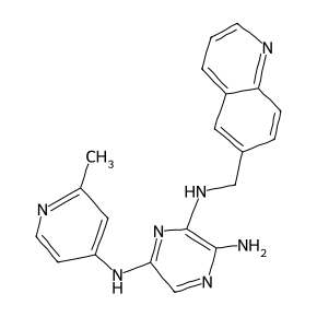 Cc1cc(Nc2cnc(N)c(NCc3ccc4ncccc4c3)n2)ccn1